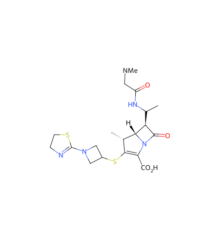 CNCC(=O)NC(C)[C@H]1C(=O)N2C(C(=O)O)=C(SC3CN(C4=NCCS4)C3)[C@H](C)[C@H]12